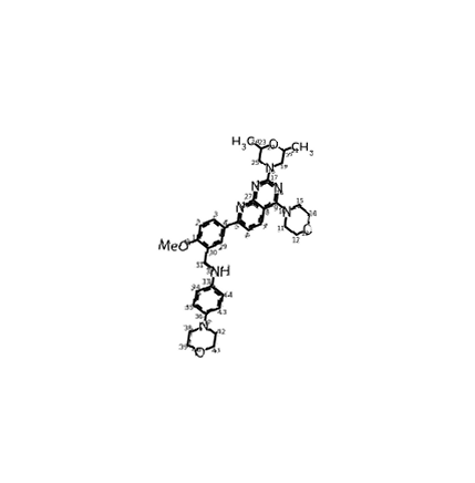 COc1ccc(-c2ccc3c(N4CCOCC4)nc(N4CC(C)OC(C)C4)nc3n2)cc1CNc1ccc(N2CCOCC2)cc1